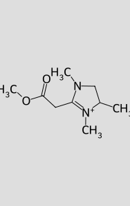 COC(=O)CC1=[N+](C)C(C)CN1C